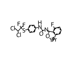 CC(C)OC(=NC(=O)Nc1ccc(SC(F)(F)C(Cl)Cl)cc1)c1c(F)cccc1F